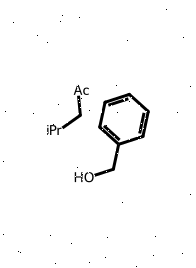 CC(=O)CC(C)C.OCc1ccccc1